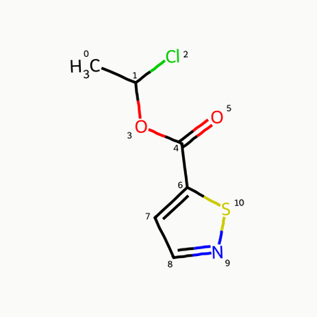 CC(Cl)OC(=O)c1ccns1